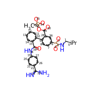 CC(C)CNS(=O)(=O)c1ccc(-c2ccccc2C(=O)Nc2ccc(C(=N)N)cc2)c(C(=O)OS(C)(=O)=O)c1